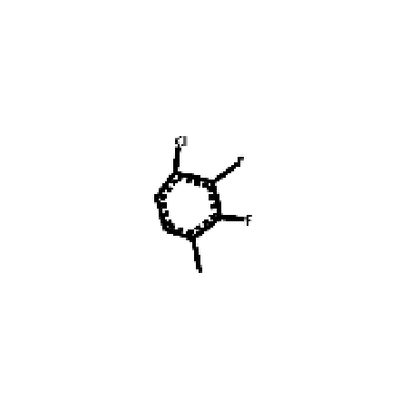 Cc1ccc(Cl)c(F)c1F